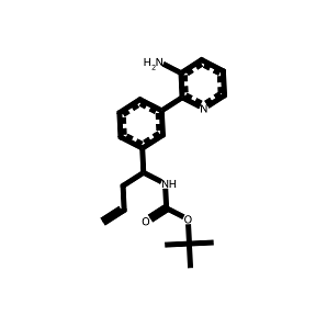 C=CCC(NC(=O)OC(C)(C)C)c1cccc(-c2ncccc2N)c1